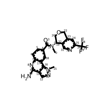 CN(C(=O)c1ccc2nc(N)c3cnn(C)c3c2c1)[C@@H]1COCc2cc(C(F)(F)F)ncc21